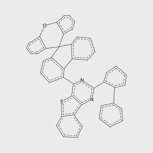 c1ccc(-c2ccccc2-c2nc(-c3cccc4c3-c3ccccc3C43c4ccccc4Oc4ccccc43)c3sc4ccccc4c3n2)cc1